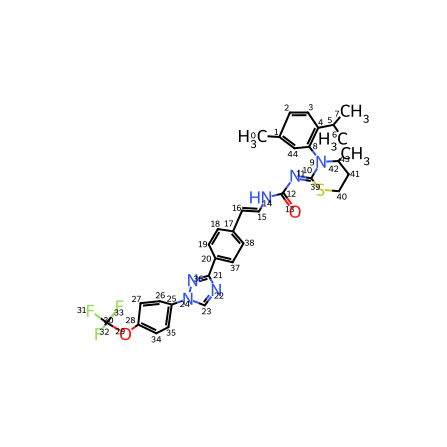 Cc1ccc(C(C)C)c(N2/C(=N/C(=O)N/C=C/c3ccc(-c4ncn(-c5ccc(OC(F)(F)F)cc5)n4)cc3)SCCC2C)c1